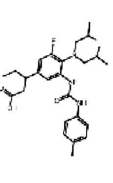 CCC(CC(=O)O)c1cc(F)c(N(CC(C)C)CC(C)C)c(NC(=O)Nc2ccc(C)cc2)c1